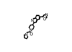 O=C(CN1CCCC1)N1CCC(c2cc3cc(-c4cnco4)ccc3cn2)CC1